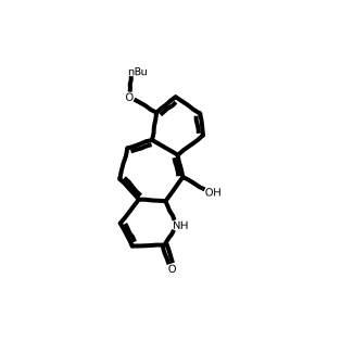 CCCCOc1cccc2c1=CC=C1C=CC(=O)NC1C=2O